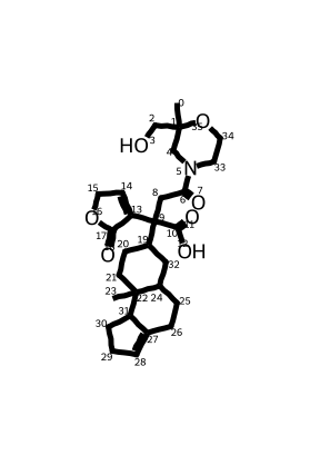 CC1(CO)CN(C(=O)CC(C(=O)O)(C2=CCOC2=O)C2CCC3(C)C(CCC4=CCCC43)C2)CCO1